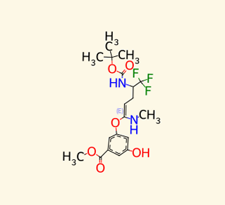 CN/C(=C\CC(NC(=O)OC(C)(C)C)C(F)(F)F)Oc1cc(O)cc(C(=O)OC)c1